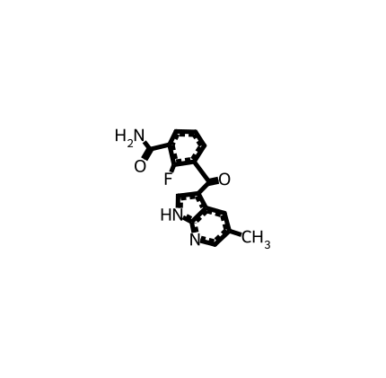 Cc1cnc2[nH]cc(C(=O)c3cccc(C(N)=O)c3F)c2c1